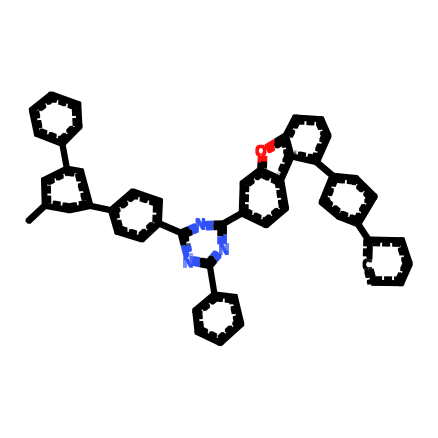 Cc1cc(-c2ccccc2)cc(-c2ccc(-c3nc(-c4ccccc4)nc(-c4ccc5c(c4)oc4cccc(-c6ccc(-c7ccccc7)cc6)c45)n3)cc2)c1